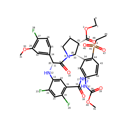 CCOC(=O)[C@H]1CCN(C(=O)[C@H](Nc2cc(C(N)=O)c(F)cc2F)c2ccc(F)c(OC)c2)[C@H]1c1cc(NC(=O)OC)ccc1S(=O)(=O)CC